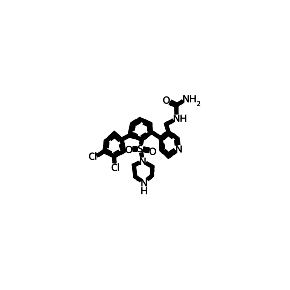 NC(=O)NCc1cnccc1-c1cccc(-c2ccc(Cl)c(Cl)c2)c1S(=O)(=O)N1CCNCC1